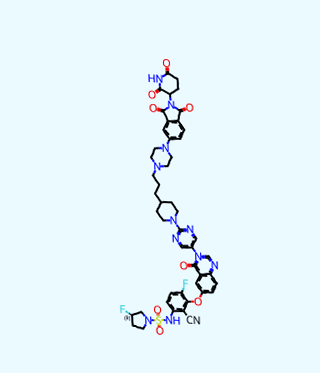 N#Cc1c(NS(=O)(=O)N2CC[C@@H](F)C2)ccc(F)c1Oc1ccc2ncn(-c3cnc(N4CCC(CCCN5CCN(c6ccc7c(c6)C(=O)N(C6CCC(=O)NC6=O)C7=O)CC5)CC4)nc3)c(=O)c2c1